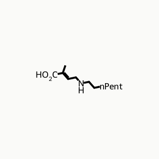 CCCCCCCNCC=C(C)C(=O)O